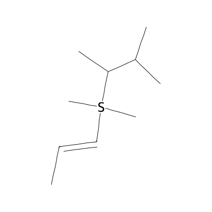 CC=CS(C)(C)C(C)C(C)C